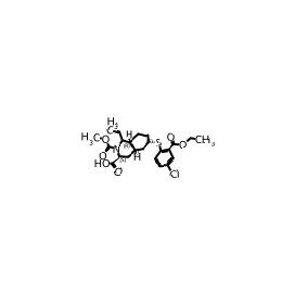 CCOC(=O)c1cc(Cl)ccc1S[C@H]1CC[C@H]2C(CC)N(C(=O)OC)[C@H](C(=O)O)C[C@H]2C1